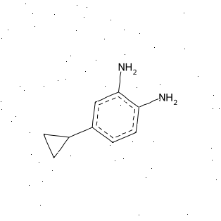 Nc1ccc(C2CC2)cc1N